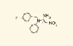 N/C(=C\[N+](=O)[O-])N(Cc1ccc(F)cc1)c1ccccc1